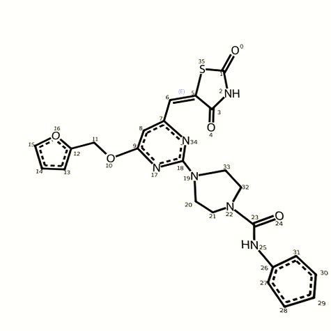 O=C1NC(=O)/C(=C\c2cc(OCc3ccco3)nc(N3CCN(C(=O)Nc4ccccc4)CC3)n2)S1